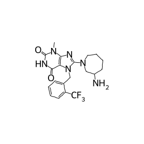 Cn1c(=O)[nH]c(=O)c2c1nc(N1CCCCC(N)C1)n2Cc1ccccc1C(F)(F)F